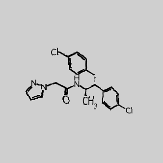 C[C@@H](NC(=O)Cn1cccn1)[C@H](Cc1ccc(Cl)cc1)c1ccc(Cl)cc1